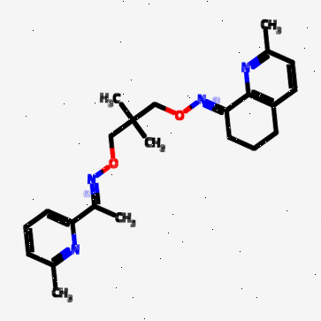 C/C(=N\OCC(C)(C)CO/N=C1\CCCc2ccc(C)nc21)c1cccc(C)n1